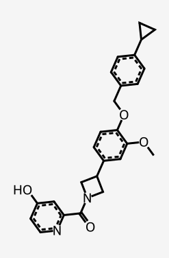 COc1cc(C2CN(C(=O)c3cc(O)ccn3)C2)ccc1OCc1ccc(C2CC2)cc1